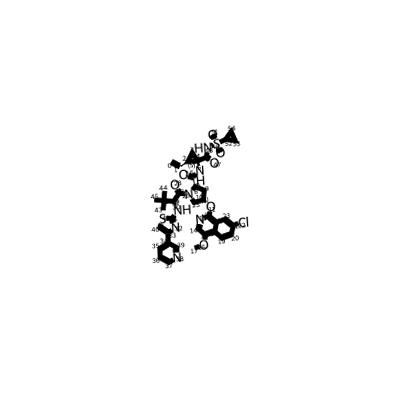 C=C[C@@H]1C[C@]1(NC(=O)[C@@H]1C[C@@H](Oc2ncc(OC)c3ccc(Cl)cc23)CN1C(=O)[C@@H](Nc1nc(-c2cccnc2)cs1)C(C)(C)C)C(=O)NS(=O)(=O)C1CC1